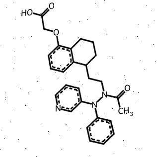 CC(=O)N(CCC1CCCc2c(OCC(=O)O)cccc21)N(c1ccccc1)c1cccnc1